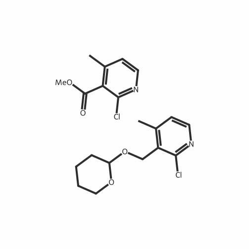 COC(=O)c1c(C)ccnc1Cl.Cc1ccnc(Cl)c1COC1CCCCO1